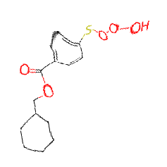 O=C(OCC1CCCCC1)c1ccc(SOOO)cc1